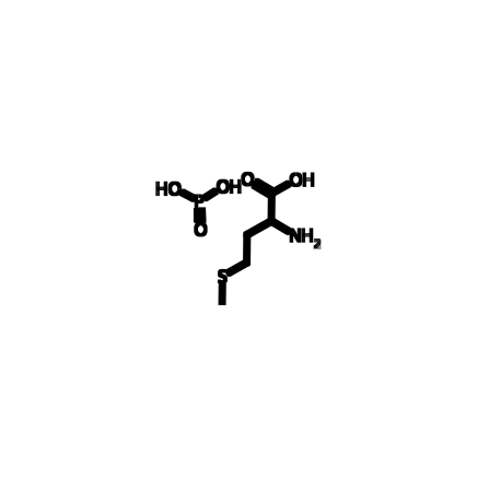 CSCCC(N)C(=O)O.O=[PH](O)O